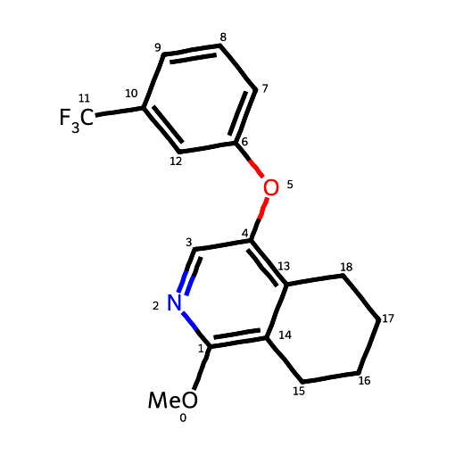 COc1ncc(Oc2cccc(C(F)(F)F)c2)c2c1CCCC2